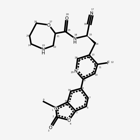 Cn1c(=O)oc2ccc(-c3cc(F)c(C[C@H](C#N)NC(=O)C4CNCCCO4)cn3)cc21